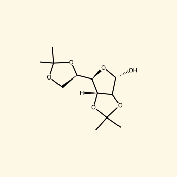 CC1(C)OC[C@H]([C@H]2O[C@H](O)C3OC(C)(C)O[C@@H]32)O1